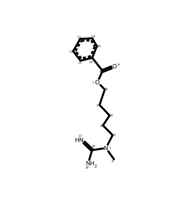 CN(CCCCCOC(=O)c1ccccc1)C(=N)N